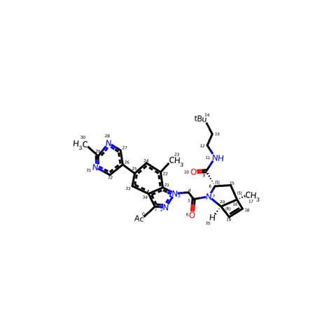 CC(=O)c1nn(CC(=O)N2[C@H](C(=O)NCCC(C)(C)C)C[C@@]3(C)C=C[C@@H]23)c2c(C)cc(-c3cnc(C)nc3)cc12